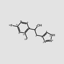 OC(Cc1c[nH]nn1)c1ccc(F)cc1F